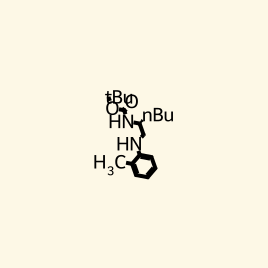 CCCC[C@@H](CNc1ccccc1C)NC(=O)OC(C)(C)C